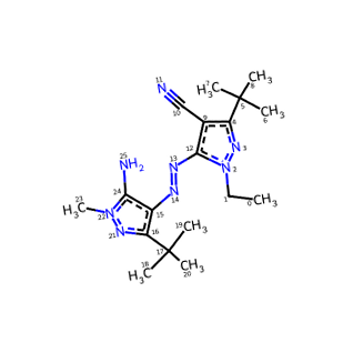 CCn1nc(C(C)(C)C)c(C#N)c1N=Nc1c(C(C)(C)C)nn(C)c1N